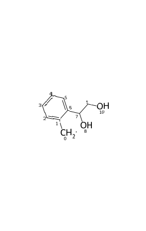 [CH2]c1ccccc1C(O)CO